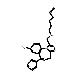 C=CCCCCNCc1nnc2n1-c1ccc([N+](=O)[O-])cc1C(c1ccccc1)=NC2